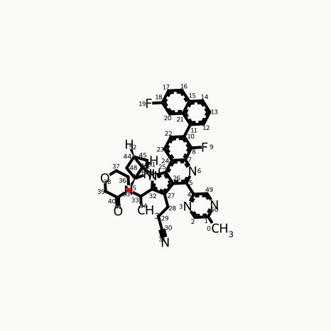 Cc1cnc(-c2nc3c(F)c(-c4cccc5ccc(F)cc45)ccc3c3c2c(CCC#N)c(C(C)N2CCOCC2=O)n3[C@H]2[C@H]3CN[C@@H]2C3)cn1